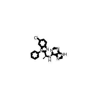 C[C@H](Nc1ncnc2[nH]cnc12)c1nc2ccc(Cl)cc2n1-c1ccccc1